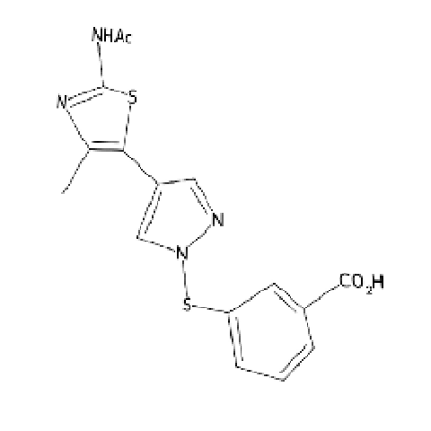 CC(=O)Nc1nc(C)c(-c2cnn(Sc3cccc(C(=O)O)c3)c2)s1